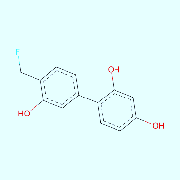 Oc1ccc(-c2ccc(CF)c(O)c2)c(O)c1